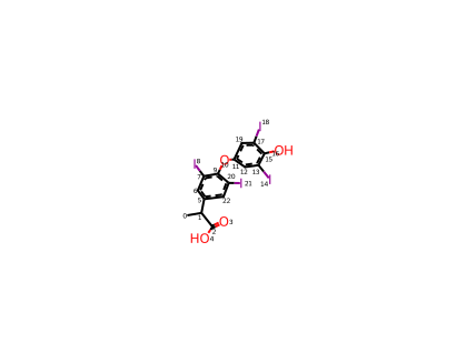 CC(C(=O)O)c1cc(I)c(Oc2cc(I)c(O)c(I)c2)c(I)c1